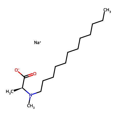 CCCCCCCCCCCCN(C)[C@@H](C)C(=O)[O-].[Na+]